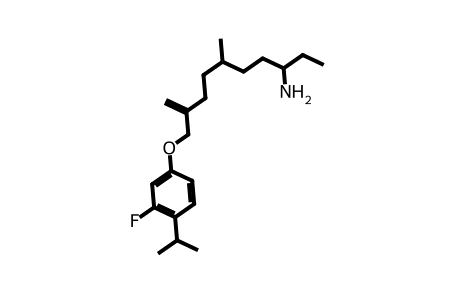 C=C(CCC(C)CCC(N)CC)COc1ccc(C(C)C)c(F)c1